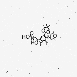 C[C@@H]1CN(c2c(C3OCC(C)(C)CO3)cc(C(=O)CNC(=O)O)c(F)c2F)C[C@@H](C)O1